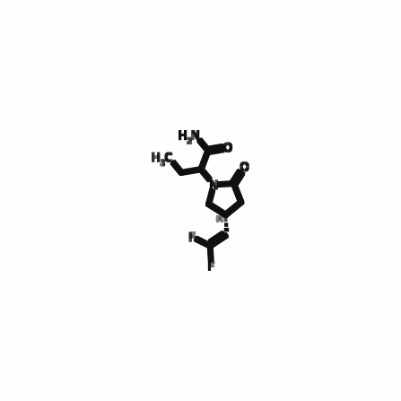 CCC(C(N)=O)N1C[C@@H](C=C(F)F)CC1=O